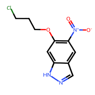 O=[N+]([O-])c1cc2cn[nH]c2cc1OCCCCl